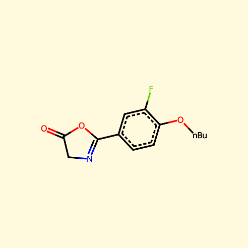 CCCCOc1ccc(C2=NCC(=O)O2)cc1F